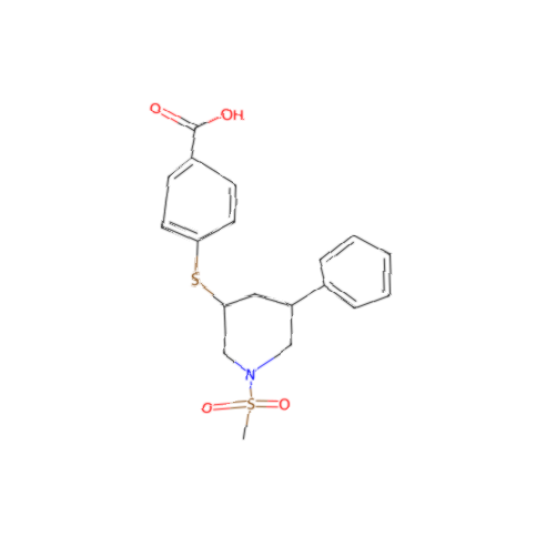 CS(=O)(=O)N1CC(Sc2ccc(C(=O)O)cc2)CC(c2ccccc2)C1